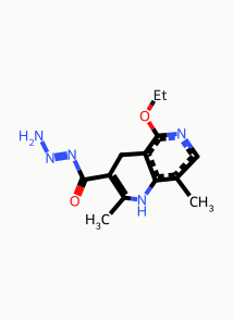 CCOc1ncc(C)c2c1CC(C(=O)N=NN)=C(C)N2